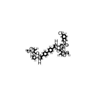 COC(=O)NC(C(=O)N1CCC[C@H]1c1nc(-c2ccc(-c3ccc(-c4c[nH]c([C@@H]5CN(C(=O)N6Cc7ccc(Cl)cc7C6)CN5C(=O)[C@@H](NC(=O)OC)C(C)C)n4)cc3)cc2)c[nH]1)C(C)C